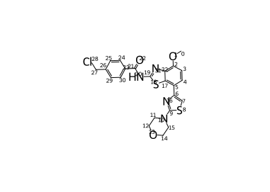 COc1ccc(-c2csc(N3CCOCC3)n2)c2sc(NC(=O)c3ccc(CCl)cc3)nc12